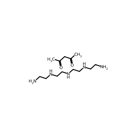 CC(=O)CC(C)=O.NCCNCCNCCNCCN